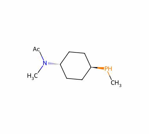 CP[C@H]1CC[C@H](N(C)C(C)=O)CC1